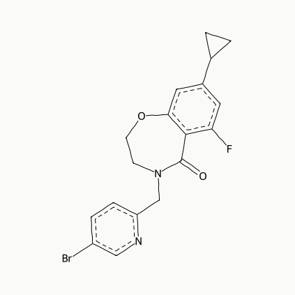 O=C1c2c(F)cc(C3CC3)cc2OCCN1Cc1ccc(Br)cn1